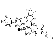 CCOC(=O)c1cn(-c2ccc3c(c2)CCC3)c2nc(Nc3cccc(N4CCNCC4)c3)ncc2c1=O